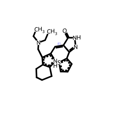 CCN(CC)Cc1c(/C=C2/C(=O)NN=C2c2cccs2)[nH]c2c1CCCC2